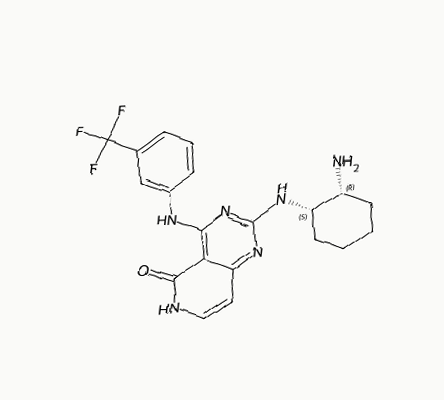 N[C@@H]1CCCC[C@@H]1Nc1nc(Nc2cccc(C(F)(F)F)c2)c2c(=O)[nH]ccc2n1